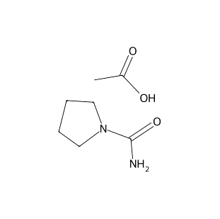 CC(=O)O.NC(=O)N1CCCC1